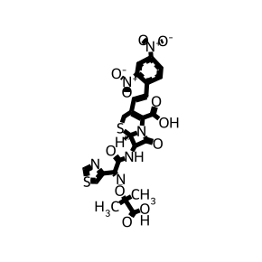 CC(C)(ON=C(C(=O)NC1C(=O)N2C(C(=O)O)=C(C=Cc3ccc([N+](=O)[O-])cc3[N+](=O)[O-])CS[C@@H]12)c1cscn1)C(=O)O